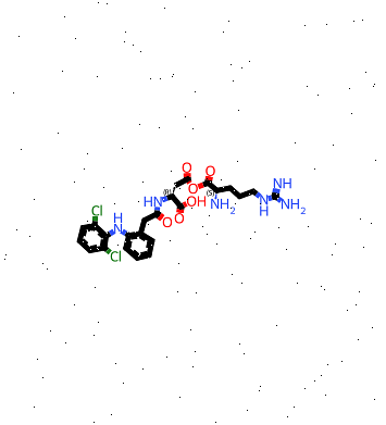 N=C(N)NCCC[C@H](N)C(=O)OC(=O)C[C@@H](NC(=O)Cc1ccccc1Nc1c(Cl)cccc1Cl)C(=O)O